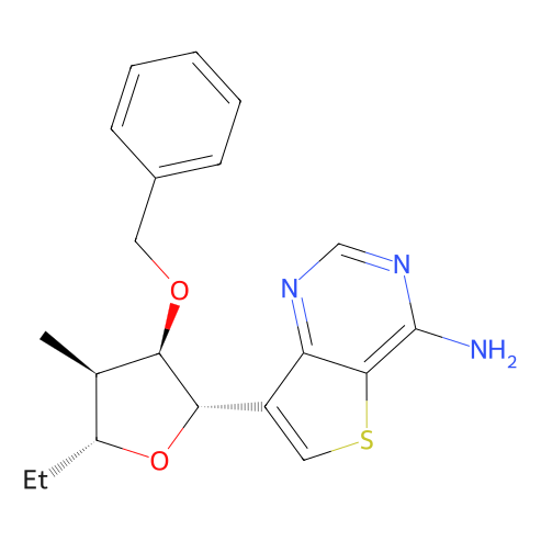 CC[C@H]1O[C@@H](c2csc3c(N)ncnc23)[C@H](OCc2ccccc2)[C@@H]1C